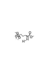 COC(=O)NCCC[Si](OC)(OC)OC.[H+]